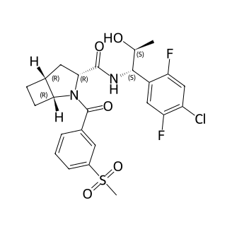 C[C@H](O)[C@@H](NC(=O)[C@H]1C[C@H]2CC[C@H]2N1C(=O)c1cccc(S(C)(=O)=O)c1)c1cc(F)c(Cl)cc1F